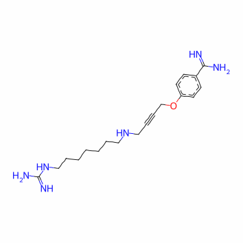 N=C(N)NCCCCCCCNCC#CCOc1ccc(C(=N)N)cc1